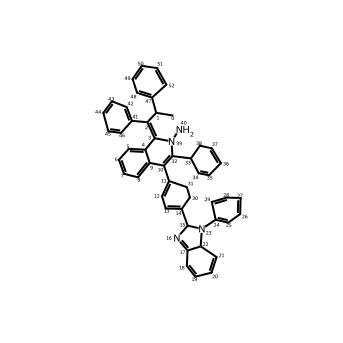 CC(/C(=C1/c2ccccc2C(C2=CC=C(C3N=C4C=CC=CC4N3c3ccccc3)CC2)=C(C2C=CC=CC2)N1N)c1ccccc1)c1ccccc1